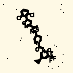 O=C(Cn1cc(C2CC2)cc(C(F)(F)F)c1=O)N1CCC(c2nc(C3=NOC(c4c(Cl)cccc4Cl)C3)cs2)CC1